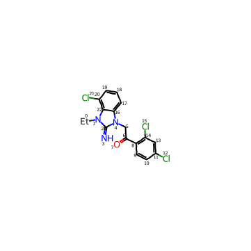 CCn1c(=N)n(CC(=O)c2ccc(Cl)cc2Cl)c2cccc(Cl)c21